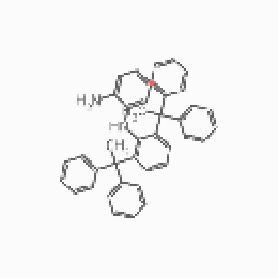 CC(c1ccccc1)(c1ccccc1)c1cccc(C(C)(c2ccccc2)c2ccccc2)c1Nc1ccccc1N